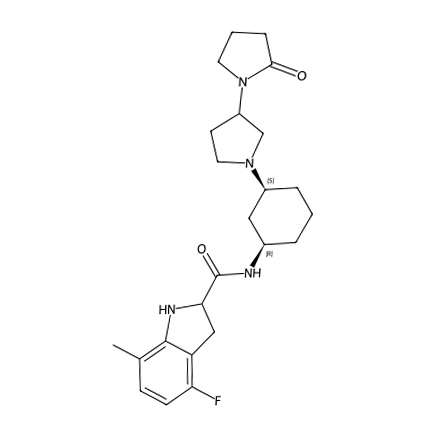 Cc1ccc(F)c2c1NC(C(=O)N[C@@H]1CCC[C@H](N3CCC(N4CCCC4=O)C3)C1)C2